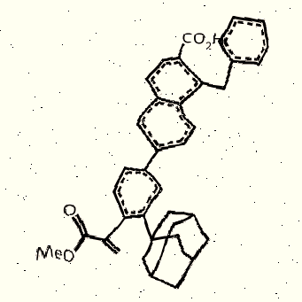 C=C(C(=O)OC)c1ccc(-c2ccc3c(Cc4ccccc4)c(C(=O)O)ccc3c2)cc1C12CC3CC(CC(C3)C1)C2